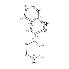 c1ccc2nnc(C3CCNCC3)cc2c1